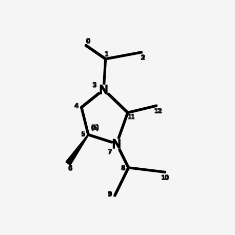 CC(C)N1C[C@H](C)N(C(C)C)C1C